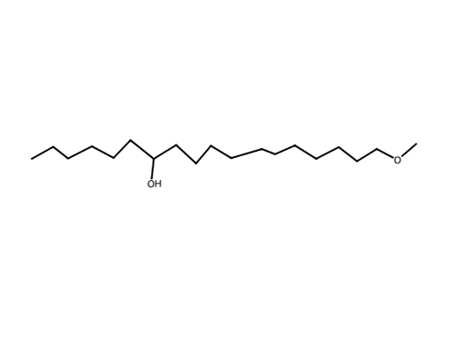 CCCCCCC(O)CCCCCCCCCCCOC